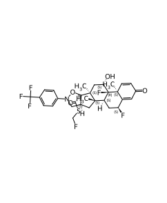 C[C@]12C[C@H](O)[C@@]3(F)[C@@H](C[C@H](F)C4=CC(=O)C=C[C@@]43C)[C@]1(C)C[C@H]1CN(c3ccc(C(F)(F)F)cc3)O[C@]12C(=O)SCF